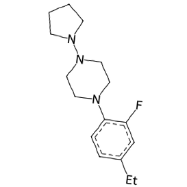 CCc1ccc(N2CCN(N3CCCC3)CC2)c(F)c1